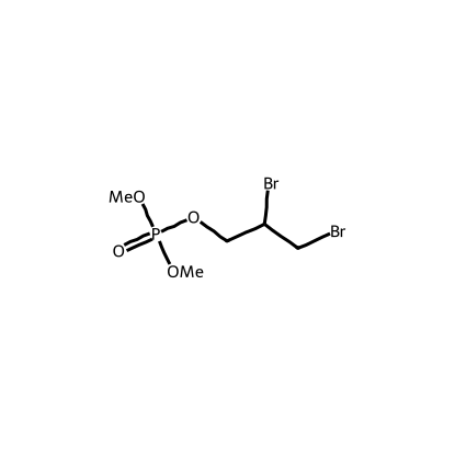 COP(=O)(OC)OCC(Br)CBr